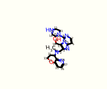 CN(Cc1nc2ccnc(N3CCNCC3)n2c1CO)C1CCOc2cccnc21